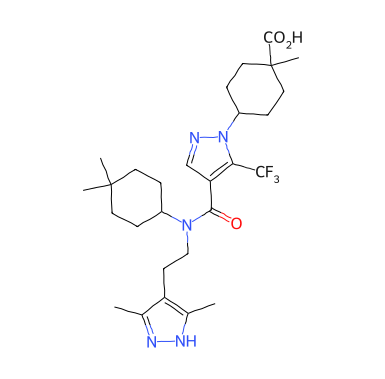 Cc1n[nH]c(C)c1CCN(C(=O)c1cnn(C2CCC(C)(C(=O)O)CC2)c1C(F)(F)F)C1CCC(C)(C)CC1